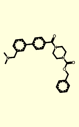 CN(C)Cc1cccc(-c2ccc(C(=O)N3CCN(C(=O)OCc4ccccc4)CC3)cc2)c1